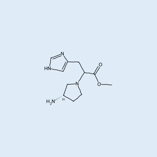 COC(=O)C(Cc1c[nH]cn1)N1CC[C@H](N)C1